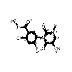 CC(C)OC(=O)c1cc(-n2c(=O)c(C#N)cn(C)c2=O)c(F)cc1Cl